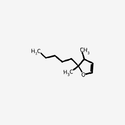 CCCCCC1(C)OC=CC1C